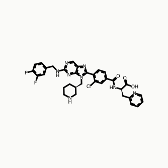 O=C(N[C@H](Cc1ccccn1)C(=O)O)c1ccc(-c2nc3cnc(NCc4ccc(F)c(F)c4)nc3n2C[C@@H]2CCCNC2)c(Cl)c1